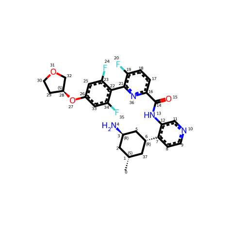 C[C@@H]1C[C@@H](N)C[C@H](c2ccncc2NC(=O)c2ccc(F)c(-c3c(F)cc(O[C@H]4CCOC4)cc3F)n2)C1